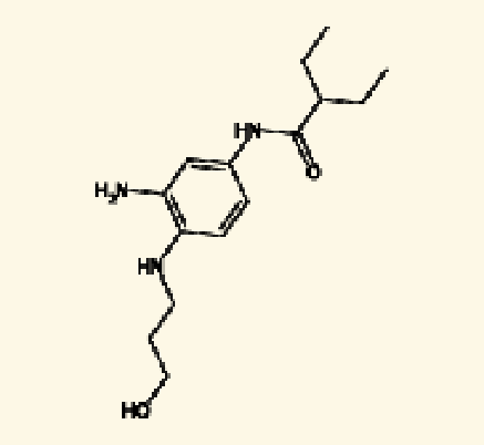 CCC(CC)C(=O)Nc1ccc(NCCCO)c(N)c1